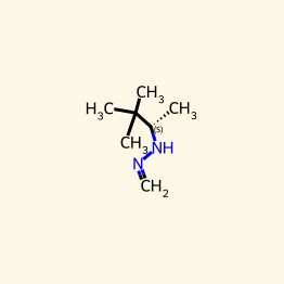 C=NN[C@@H](C)C(C)(C)C